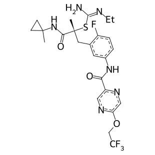 CC/N=C(/N)S[C@](C)(Cc1cc(NC(=O)c2cnc(OCC(F)(F)F)cn2)ccc1F)C(=O)NC1(C)CC1